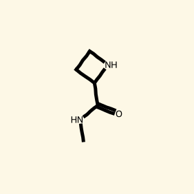 CNC(=O)C1CCN1